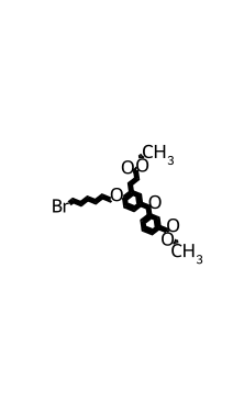 CCOC(=O)CCc1cc(C(=O)c2cccc(C(=O)OCC)c2)ccc1OCCCCCCBr